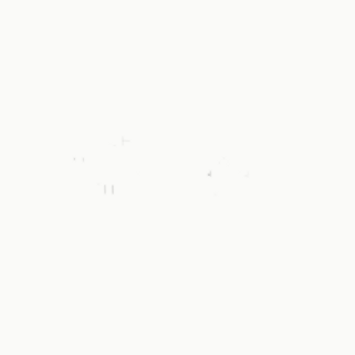 CC(O)C(O)OCCC[SiH2]O[SiH3]